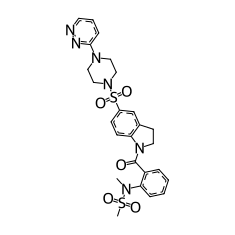 CN(c1ccccc1C(=O)N1CCc2cc(S(=O)(=O)N3CCN(c4cccnn4)CC3)ccc21)S(C)(=O)=O